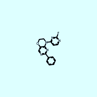 Fc1nccc(N2CCOc3cnc(-c4ccccc4)nc32)n1